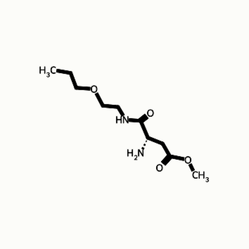 CCCOCCNC(=O)[C@@H](N)CC(=O)OC